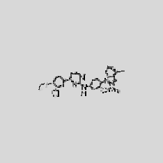 COc1cc(Nc2nccc(-c3ccc(Cl)c(Cl)c3)n2)ccc1-n1ncc2c(C)cccc21